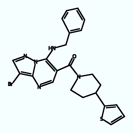 O=C(c1cnc2c(Br)cnn2c1NCc1ccccc1)N1CCC(c2cccs2)CC1